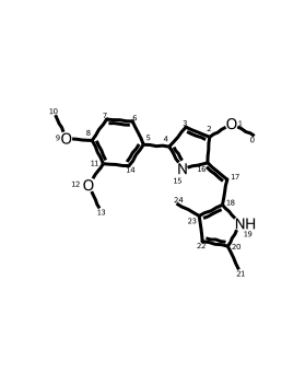 COC1=CC(c2ccc(OC)c(OC)c2)=NC1=Cc1[nH]c(C)cc1C